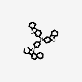 C/C=C\c1c(C)n(-c2ccc(N(c3ccc4c(c3)oc3ccccc34)c3ccc4oc5ccccc5c4c3)cc2)c2c1ccc1ccccc12